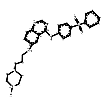 O=S(=O)(c1ccccc1)c1ccc(Nc2ncnc3ccc(NCCCN4CC[S+]([O-])CC4)cc23)cc1